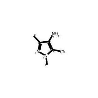 Cc1nn(C)c(Cl)c1N